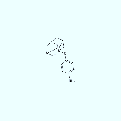 Nc1ccc(SC23CC4CC(CC(C4)C2)C3)cc1